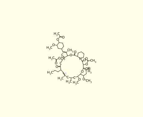 CCCC1/C=C(\C)CC(C)CC(OC)C2OC(O)(C(C)CC2OC)C(OC(C)=O)C(=O)N2CCCCC2C(=O)OC(C(C)=CC2CCC(OC(C)=O)C(OC)C2)C(C)C(OC(C)=O)CC1=O